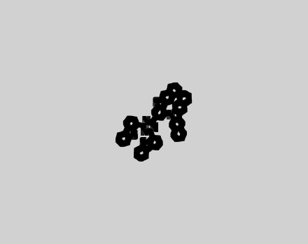 c1ccc2cc3c(cc2c1)sc1cc(-c2nc(-c4cccc5c4sc4ccccc45)nc(-c4cccc5c4sc4ccccc45)n2)cc(-n2c4cc5ccccc5cc4c4cc5ccccc5cc42)c13